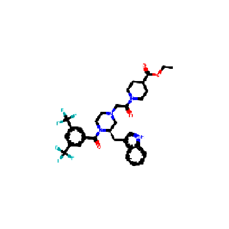 CCOC(=O)C1CCN(C(=O)CN2CCN(C(=O)c3cc(C(F)(F)F)cc(C(F)(F)F)c3)[C@H](Cc3c[nH]c4ccccc34)C2)CC1